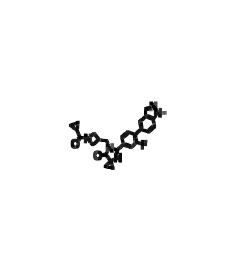 Cn1ncc2cc(-c3ccc(C4=NC5(CC5)C(=O)N4CC4CN(C(=O)C5CC5)C4)cc3F)ccc21